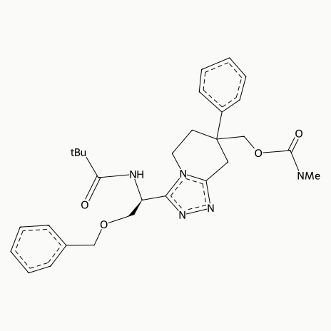 CNC(=O)OCC1(c2ccccc2)CCn2c(nnc2[C@@H](COCc2ccccc2)NC(=O)C(C)(C)C)C1